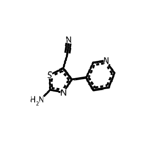 N#Cc1sc(N)nc1-c1cccnc1